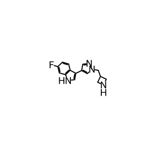 Fc1ccc2c(-c3cnn(CC4CNC4)c3)c[nH]c2c1